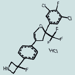 Cl.Fc1c(Cl)cc(C2(C(F)(F)F)CC(c3ccc(C4(F)CNC4)cc3)=CO2)cc1Cl